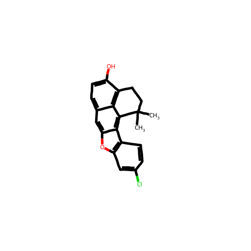 CC1(C)CCc2c(O)ccc3cc4oc5cc(Cl)ccc5c4c1c23